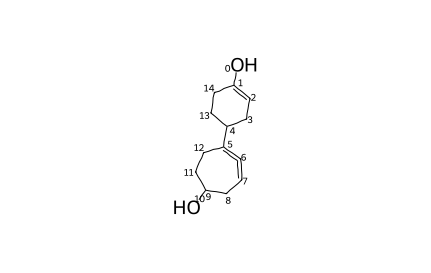 OC1=CCC(C2=C=CCC(O)CC2)CC1